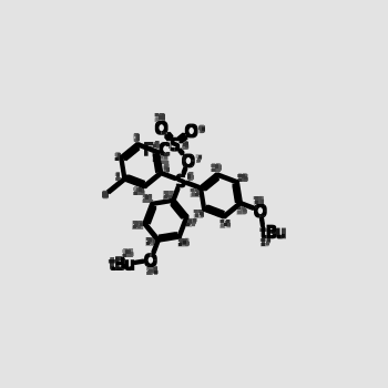 Cc1cccc(S(OS(=O)(=O)C(F)(F)F)(c2ccc(OC(C)(C)C)cc2)c2ccc(OC(C)(C)C)cc2)c1